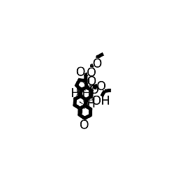 CCOCOC(=O)[C@@]1(OC(=O)OC(C)C)CC[C@H]2[C@@H]3CCC4=CC(=O)CC[C@]4(C)[C@H]3[C@@H](O)C[C@@]21C